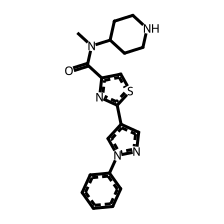 CN(C(=O)c1csc(-c2cnn(-c3ccccc3)c2)n1)C1CCNCC1